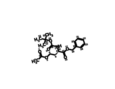 CC(=O)OCC[C@H](NC(=O)OC(C)(C)C)C(=O)OCc1ccccc1